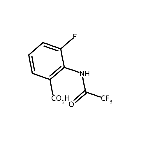 O=C(O)c1cccc(F)c1NC(=O)C(F)(F)F